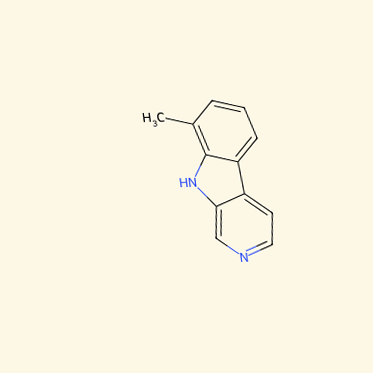 Cc1cccc2c1[nH]c1cnccc12